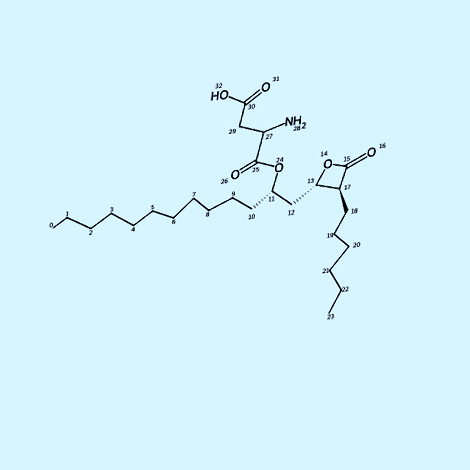 CCCCCCCCCCC[C@@H](C[C@@H]1OC(=O)[C@H]1CCCCCC)OC(=O)C(N)CC(=O)O